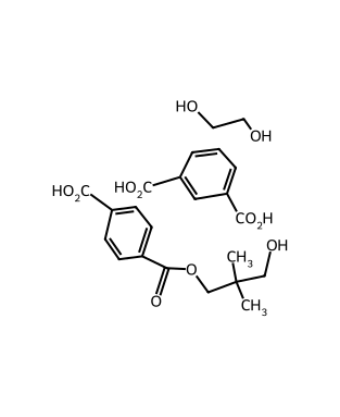 CC(C)(CO)COC(=O)c1ccc(C(=O)O)cc1.O=C(O)c1cccc(C(=O)O)c1.OCCO